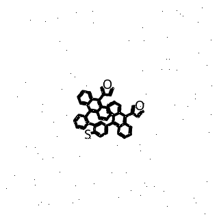 c1cc(-c2c3ccccc3c(-c3ccoc3)c3ccccc23)c2c(c1)sc1ccc(-c3c4ccccc4c(-c4ccoc4)c4ccccc34)cc12